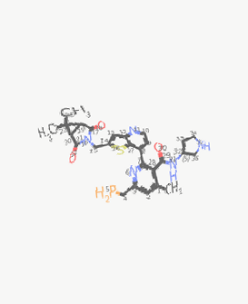 Cc1cc(CP)nc(-c2ccnc3cc(CN4C(=O)C5C(C4=O)C5(C)C)sc23)c1C(=O)N[C@H]1CCNC1